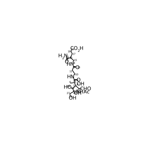 CC(=O)N[C@@H](C=O)[C@](O)(C(C)C(=O)NCCC(=O)NCC(CCC(=O)O)C(N)=O)[C@H](O)[C@H](O)CO